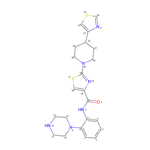 O=C(Nc1ccccc1N1CCNCC1)c1csc(N2CCC(c3cscn3)CC2)n1